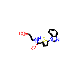 O=C(NCCO)c1ccc(-n2cnc3ccccc32)s1